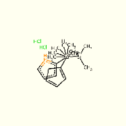 C[SiH](C)[Zr]([CH3])([CH3])([CH3])([CH3])([CH3])([CH3])([CH3])([C]1=CC=CC1)[c]1ccc[pH]1.Cl.Cl